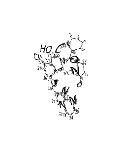 O=C(O)[C@@H]1CCCCC1C(=O)N1CCc2c(Cl)ccc(OCc3cn4cccnc4n3)c2[C@H]1CN1CCCC1=O